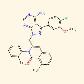 COc1cc(-c2nn(Cc3cc4cccc(C)c4c(=O)n3-c3ccccc3C)c3ncnc(N)c23)ccc1F